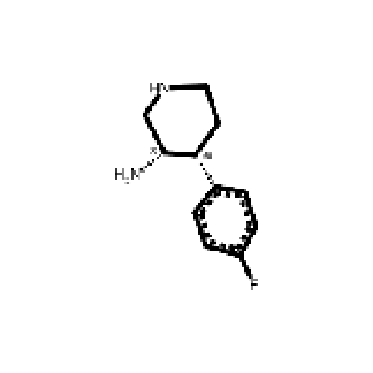 N[C@@H]1CNCC[C@@H]1c1ccc(F)cc1